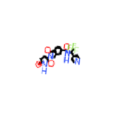 O=C1CCC(N2Cc3cc(C(=O)NC(c4ccncc4)C(F)(F)F)ccc3C2=O)C(=O)N1